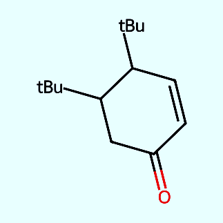 CC(C)(C)C1C=CC(=O)CC1C(C)(C)C